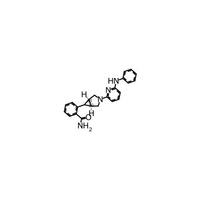 NC(=O)c1ccccc1C1[C@H]2CN(c3cccc(Nc4ccccc4)n3)C[C@@H]12